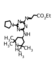 CCOC(=O)CC=Nc1nc(NC2CC(C)(C)NC(C)(C)C2)nc(N2CCCC2)n1